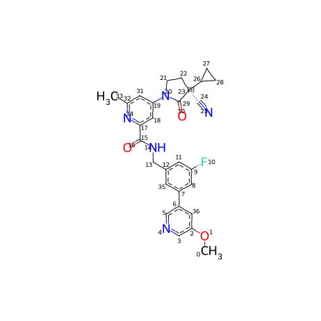 COc1cncc(-c2cc(F)cc(CNC(=O)c3cc(N4CC[C@@](C#N)(C5CC5)C4=O)cc(C)n3)c2)c1